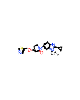 Cn1c(C2CC2)nc2ccc(-n3ccc(OCc4cncs4)cc3=O)cc21